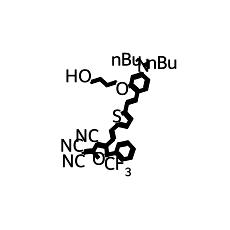 CCCCN(CCCC)c1ccc(/C=C/c2ccc(/C=C/C3=C(C#N)C(=C(C#N)C#N)OC3(c3ccccc3)C(F)(F)F)s2)c(OCCCCO)c1